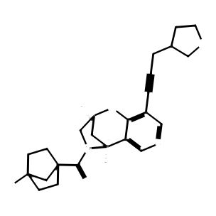 O=C(N1C[C@@H]2C[C@H]1c1cncc(C#CCC3CCOC3)c1O2)C12CCC(F)(CC1)C2